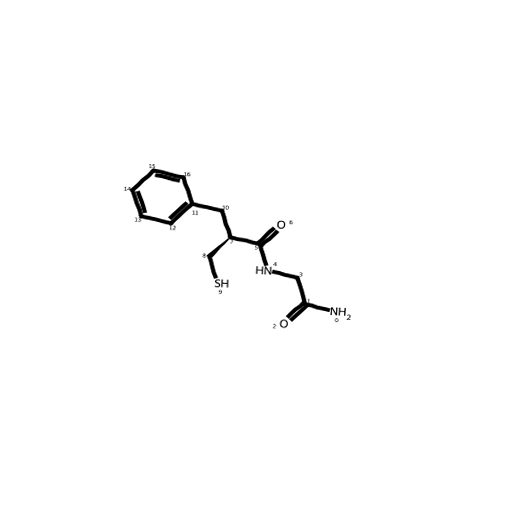 NC(=O)CNC(=O)[C@@H](CS)Cc1ccccc1